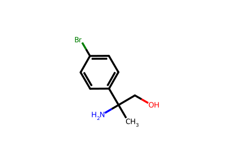 CC(N)(CO)c1ccc(Br)cc1